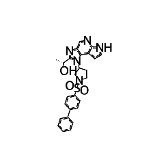 C[C@@H](O)c1nc2cnc3[nH]ccc3c2n1C1CCN(S(=O)(=O)c2ccc(-c3ccccc3)cc2)C1